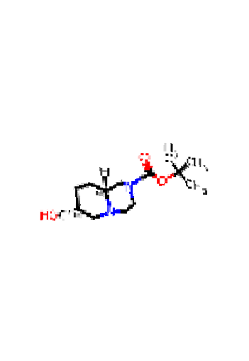 CC(C)(C)OC(=O)N1CCN2C[C@H](CO)CC[C@@H]2C1